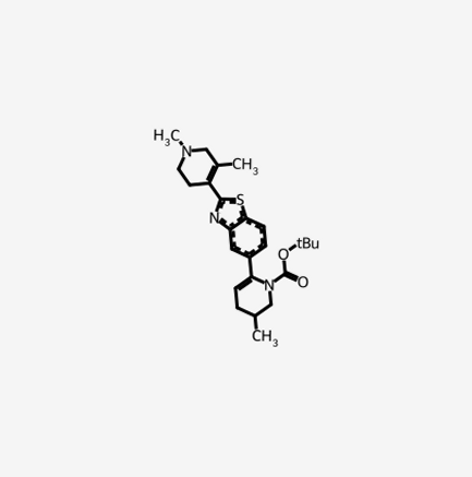 CC1=C(c2nc3cc(C4=CCC(C)CN4C(=O)OC(C)(C)C)ccc3s2)CCN(C)C1